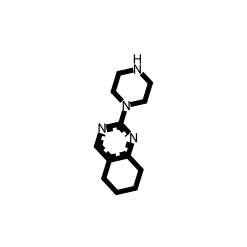 c1nc(N2CCNCC2)nc2c1CCCC2